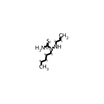 C=CCNN(CCCCC)C(N)=S